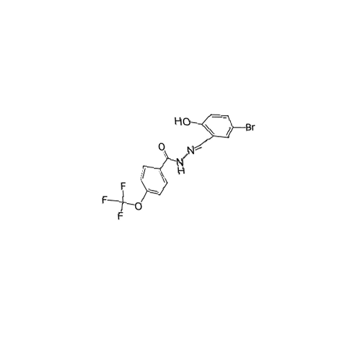 O=C(N/N=C/c1cc(Br)ccc1O)c1ccc(OC(F)(F)F)cc1